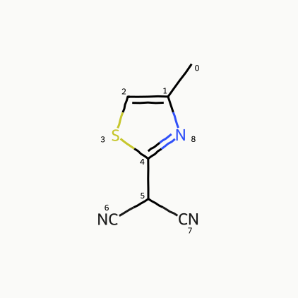 Cc1csc(C(C#N)C#N)n1